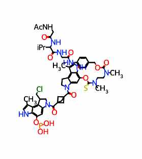 CC(=O)NCC(=O)NC(C(=O)NCC(=O)Nc1ccc(COC(=O)N(C)CCN(C)C(=S)Oc2cc3c(c4c(C)c[nH]c24)CCN3C(=O)C23CC(C(=O)N4CC(CCl)c5c4cc(OP(O)O)c4[nH]cc(C)c54)(C2)C3)cc1)C(C)C